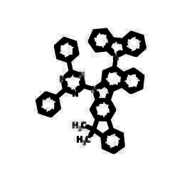 CC1(C)c2ccccc2-c2cc3c4c5ccccc5c(-n5c6ccccc6c6ccccc65)cc4n(-c4nc(-c5ccccc5)nc(-c5ccccc5)n4)c3cc21